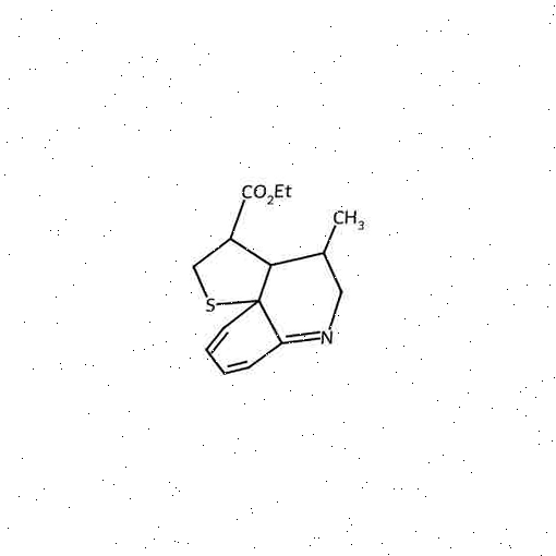 CCOC(=O)C1CSC23C=CC=CC2=NCC(C)C13